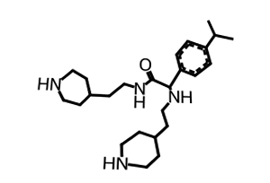 CC(C)c1ccc(C(NCCC2CCNCC2)C(=O)NCCC2CCNCC2)cc1